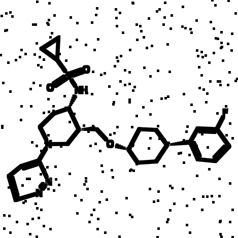 O=S(=O)(N[C@H]1CCN(c2cccnn2)C[C@H]1CO[C@H]1CC[C@@H](c2cccc(F)c2)CC1)C1CC1